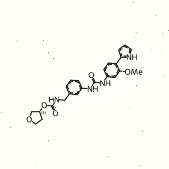 COc1cc(NC(=O)Nc2cccc(CNC(=O)O[C@H]3CCOC3)c2)ccc1-c1ccc[nH]1